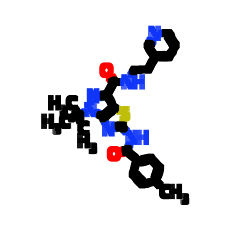 Cc1ccc(C(=O)Nc2nc3c(s2)c(C(=O)NCCc2cccnc2)nn3C(C)(C)C)cc1